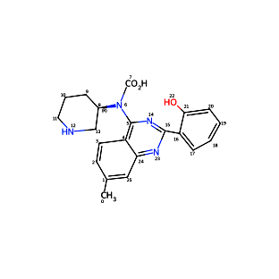 Cc1ccc2c(N(C(=O)O)[C@@H]3CCCNC3)nc(-c3ccccc3O)nc2c1